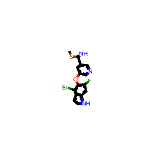 CSC(=N)c1cncc(Oc2c(F)cc3[nH]ccc3c2Br)c1